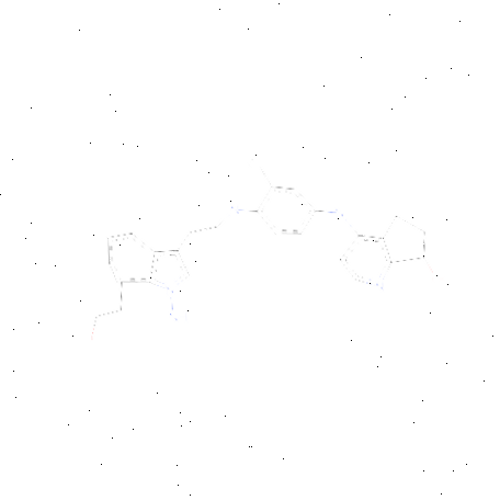 Cc1cc(Nc2ccnc3c2CCC3O)ccc1NCCc1cn(N)c2c(CCO)cccc12